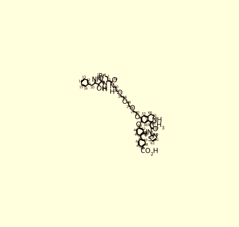 CC(C)CC(NC(=O)C(O)C(N)Cc1ccccc1)C(=O)NCCOCCOCCOCCOc1cc2c(cc1Oc1ccc(-c3ccc(C(=O)O)cc3)c(F)c1)[C@@](C)(CC(=O)Nc1nccs1)NCC2